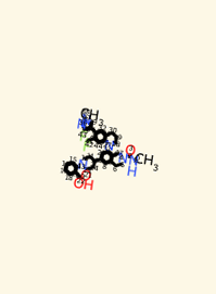 CNC(=O)N1CCc2cc(C3CCN(c4ccccc4C(=O)O)CC3)cc(N3CCCc4cc(-c5cnn(C)c5)c(C(F)F)cc43)c2C1